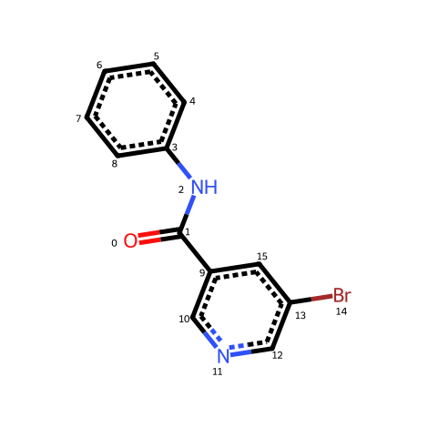 O=C(Nc1ccccc1)c1cncc(Br)c1